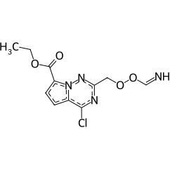 CCOC(=O)c1ccc2c(Cl)nc(COOC=N)nn12